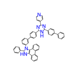 c1ccc(-c2ccc(C3=NC(c4ccncc4)=NC(c4ccc(-c5cccc(N6c7c(c8ccccc8c8ccccc78)NC6c6ccccc6)c5)cc4)N3)cc2)cc1